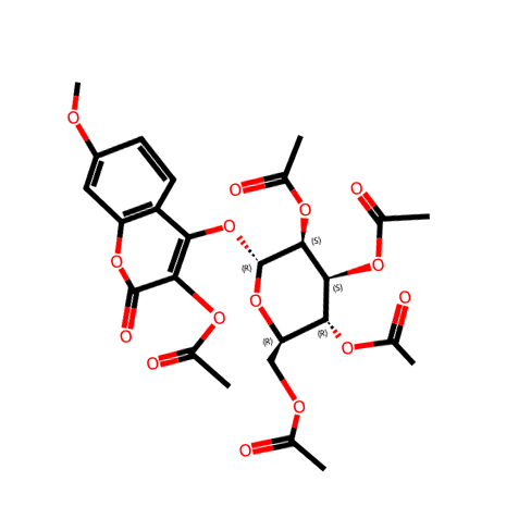 COc1ccc2c(O[C@H]3O[C@H](COC(C)=O)[C@@H](OC(C)=O)[C@H](OC(C)=O)[C@@H]3OC(C)=O)c(OC(C)=O)c(=O)oc2c1